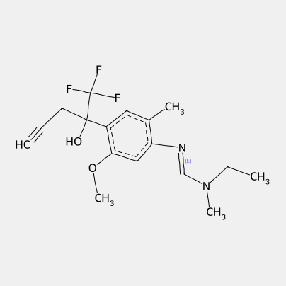 C#CCC(O)(c1cc(C)c(/N=C/N(C)CC)cc1OC)C(F)(F)F